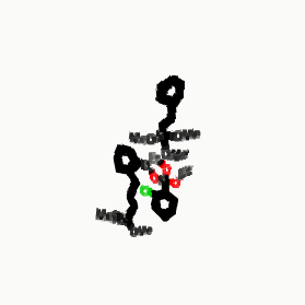 CCO[Si](OCC)(OCC)c1ccccc1Cl.CO[SiH](CCCc1ccccc1)OC.CO[Si](CCc1ccccc1)(OC)OC